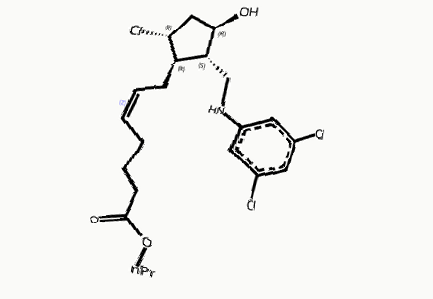 CCCOC(=O)CCC/C=C\C[C@@H]1[C@@H](CNc2cc(Cl)cc(Cl)c2)[C@H](O)C[C@H]1Cl